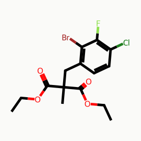 CCOC(=O)C(C)(Cc1ccc(Cl)c(F)c1Br)C(=O)OCC